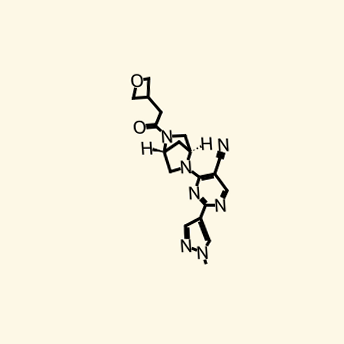 Cn1cc(-c2ncc(C#N)c(N3C[C@H]4C[C@H]3CN4C(=O)CC3COC3)n2)cn1